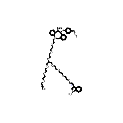 C#CCOCCOCCOCC(COCCOCCOCCO/N=C/c1cn(C)c2ccccc12)OCCOCCOCCN1Cc2ccccc2C2C(N=NN2c2ccc(N=C=S)cc2)c2ccccc21